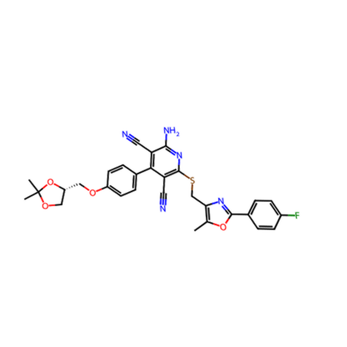 Cc1oc(-c2ccc(F)cc2)nc1CSc1nc(N)c(C#N)c(-c2ccc(OC[C@@H]3COC(C)(C)O3)cc2)c1C#N